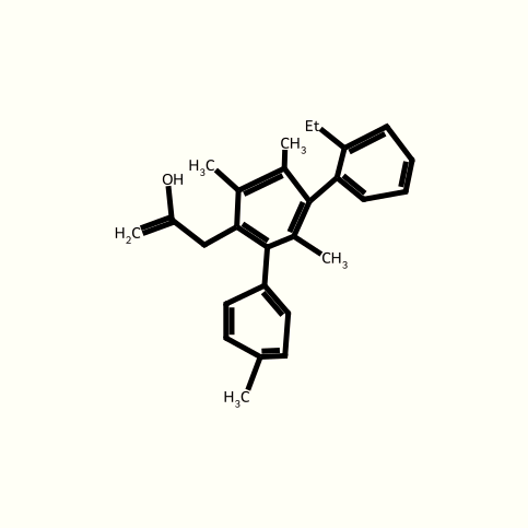 C=C(O)Cc1c(C)c(C)c(-c2ccccc2CC)c(C)c1-c1ccc(C)cc1